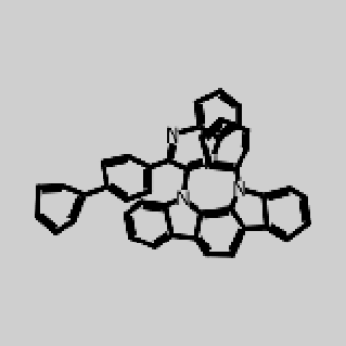 c1ccc(-c2ccc(-c3nc4ccccc4nc3-n3c4ccccc4c4ccc5c6ccccc6n(-c6ccccc6)c5c43)cc2)cc1